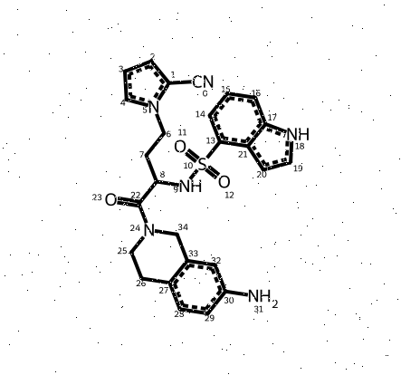 N#Cc1cccn1CCC(NS(=O)(=O)c1cccc2[nH]ccc12)C(=O)N1CCc2ccc(N)cc2C1